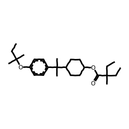 CCC(C)(C)Oc1ccc(C(C)(C)C2CCC(OC(=O)C(C)(CC)CC)CC2)cc1